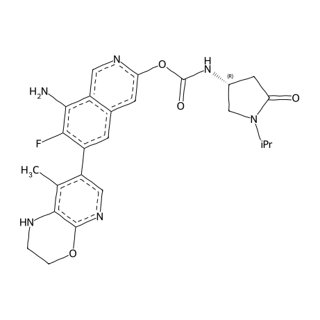 Cc1c(-c2cc3cc(OC(=O)N[C@@H]4CC(=O)N(C(C)C)C4)ncc3c(N)c2F)cnc2c1NCCO2